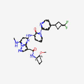 CNc1cc(Nc2cccn(-c3cc(C4CC(=C(F)F)C4)ccn3)c2=O)nc2c(C(=O)N[C@@H]3CC[C@H]3OC)cnn12